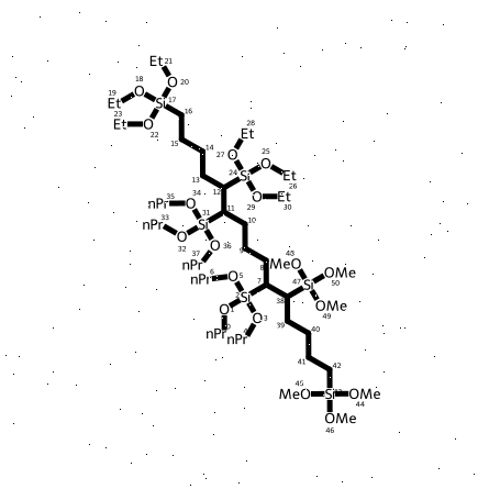 CCCO[Si](OCCC)(OCCC)C(CCCC(C(CCCC[Si](OCC)(OCC)OCC)[Si](OCC)(OCC)OCC)[Si](OCCC)(OCCC)OCCC)C(CCCC[Si](OC)(OC)OC)[Si](OC)(OC)OC